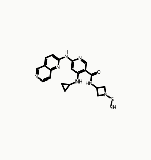 O=C(NC1CN(SS)C1)c1cnc(Nc2ccc3cnccc3n2)cc1NC1CC1